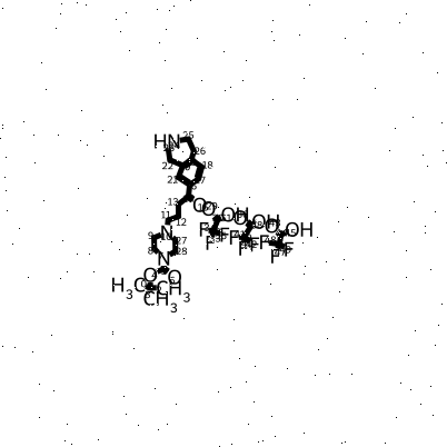 CC(C)(C)OC(=O)N1CCN(CCCC(=O)c2ccc3c(c2)CCNCC3)CC1.O=C(O)C(F)(F)F.O=C(O)C(F)(F)F.O=C(O)C(F)(F)F